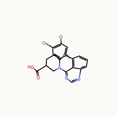 CC1CCC(C(=O)O)CN1c1ncnc2cccc(-c3ccc(Cl)c(Cl)c3)c12